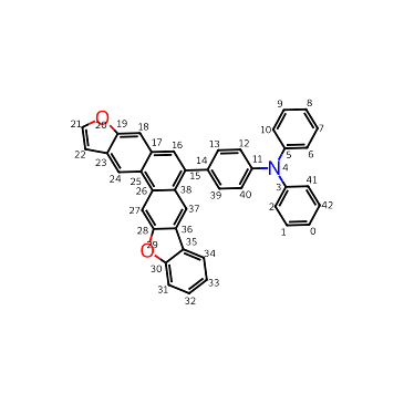 c1ccc(N(c2ccccc2)c2ccc(-c3cc4cc5occc5cc4c4cc5oc6ccccc6c5cc34)cc2)cc1